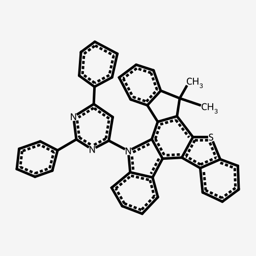 CC1(C)c2ccccc2-c2c1c1sc3ccccc3c1c1c3ccccc3n(-c3cc(-c4ccccc4)nc(-c4ccccc4)n3)c21